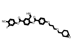 N#Cc1ccc(OC(=O)c2ccc(OC(=O)c3ccc(OCCCOCC4CCC5OC5C4)cc3)c(C=N)c2)cc1F